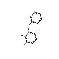 CC(C)c1ccc(N)c(N)c1Oc1ccccc1